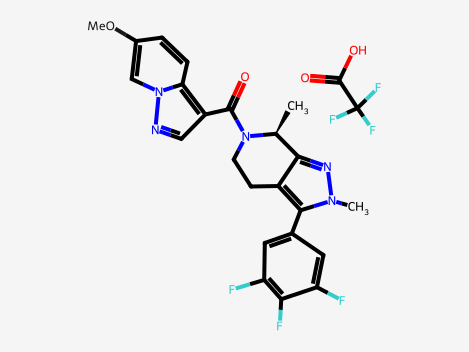 COc1ccc2c(C(=O)N3CCc4c(nn(C)c4-c4cc(F)c(F)c(F)c4)[C@@H]3C)cnn2c1.O=C(O)C(F)(F)F